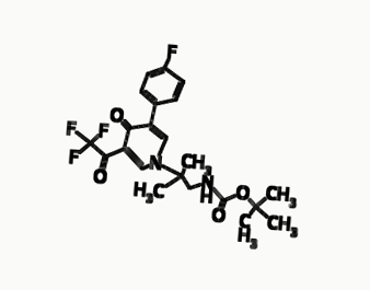 CC(C)(C)OC(=O)NCC(C)(C)n1cc(C(=O)C(F)(F)F)c(=O)c(-c2ccc(F)cc2)c1